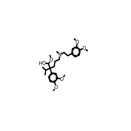 COc1ccc(CCN(C)CCCC(c2ccc(OC)c(OC)c2)(C(C)C)C(O)OC)cc1OC